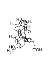 CC[C@]1(O)C[C@@H]2CN(CCc3c([nH]c4ccc(CCCC(=O)O)cc34)[C@@](C(=O)OC)(C3C=C4C(=CC3OC)N(C=O)[C@H]3[C@@](O)(C(=O)OC)[C@H](OC(C)=O)[C@]5(CC)C=CCN6CC[C@]43[C@@H]65)C2)C1